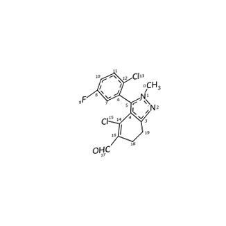 Cn1nc2c(c1-c1cc(F)ccc1Cl)C(Cl)=C(C=O)CC2